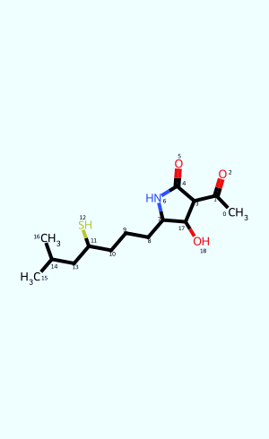 CC(=O)C1C(=O)NC(CCCC(S)CC(C)C)C1O